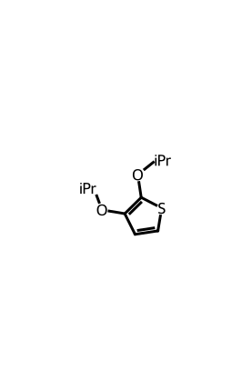 CC(C)Oc1ccsc1OC(C)C